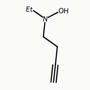 C#CCCN(O)CC